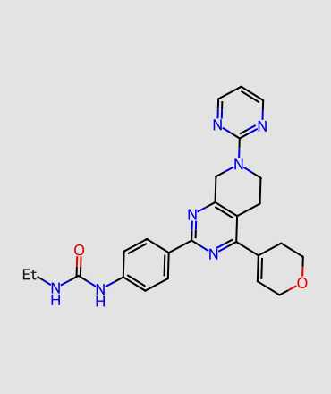 CCNC(=O)Nc1ccc(-c2nc3c(c(C4=CCOCC4)n2)CCN(c2ncccn2)C3)cc1